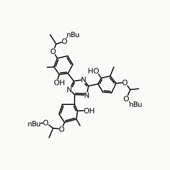 CCCCOC(C)Oc1ccc(-c2nc(-c3ccc(OC(C)OCCCC)c(C)c3O)nc(-c3ccc(OC(C)OCCCC)c(C)c3O)n2)c(O)c1C